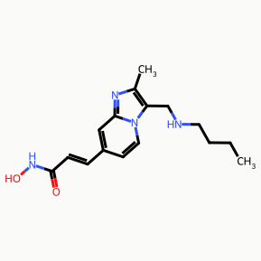 CCCCNCc1c(C)nc2cc(C=CC(=O)NO)ccn12